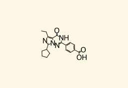 CCc1nc(C2CCCC2)n2nc(-c3ccc(C(=O)O)cc3)[nH]c(=O)c12